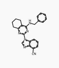 N#Cc1cccc2c1ncn2-c1nc2c(c(NCc3ccccc3)n1)CCCC2